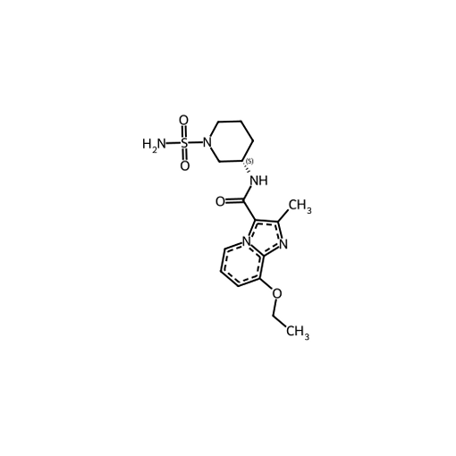 CCOc1cccn2c(C(=O)N[C@H]3CCCN(S(N)(=O)=O)C3)c(C)nc12